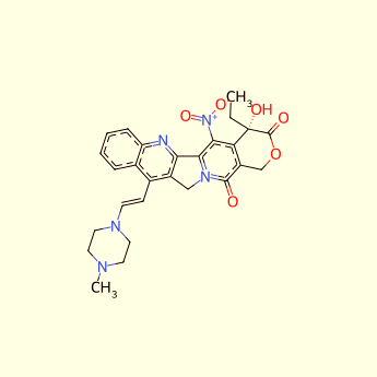 CC[C@@]1(O)C(=O)OCc2c1c([N+](=O)[O-])c1n(c2=O)Cc2c-1nc1ccccc1c2/C=C/N1CCN(C)CC1